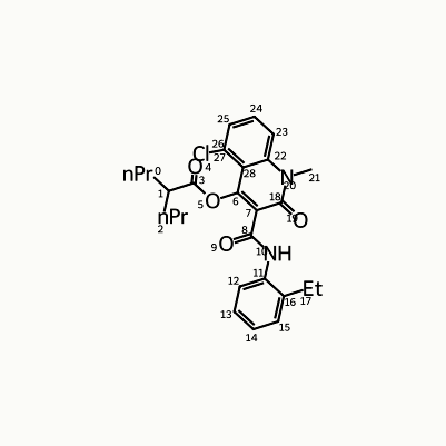 CCCC(CCC)C(=O)Oc1c(C(=O)Nc2ccccc2CC)c(=O)n(C)c2cccc(Cl)c12